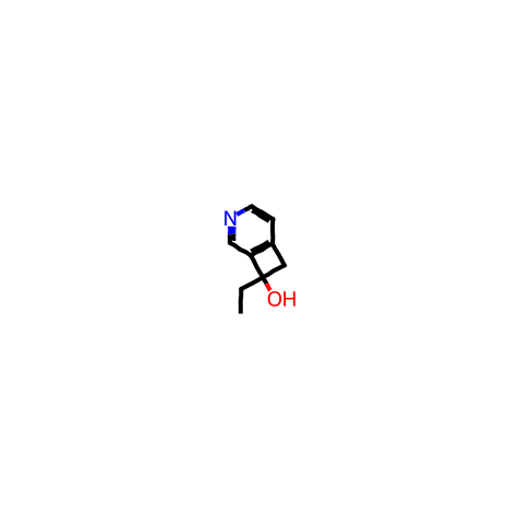 CCC1(O)Cc2ccncc21